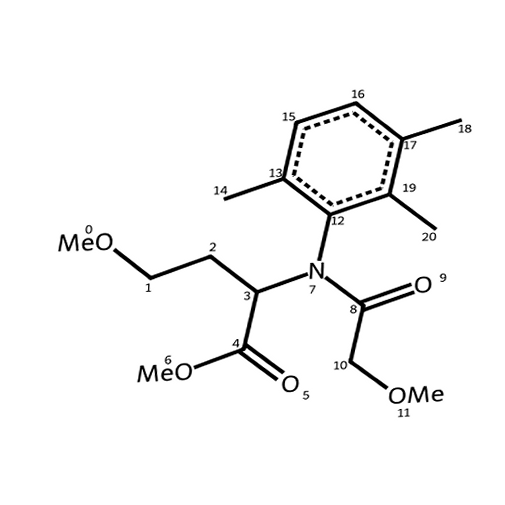 COCCC(C(=O)OC)N(C(=O)COC)c1c(C)ccc(C)c1C